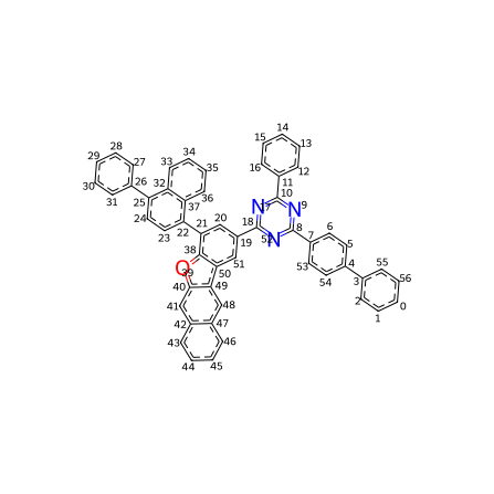 c1ccc(-c2ccc(-c3nc(-c4ccccc4)nc(-c4cc(-c5ccc(-c6ccccc6)c6ccccc56)c5oc6cc7ccccc7cc6c5c4)n3)cc2)cc1